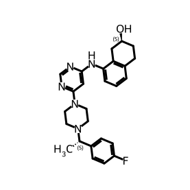 C[C@@H](c1ccc(F)cc1)N1CCN(c2cc(Nc3cccc4c3C[C@@H](O)CC4)ncn2)CC1